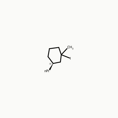 CCC[C@H]1CCCC(C)(I)C1